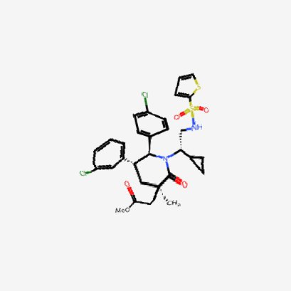 COC(=O)C[C@@]1(C)C[C@H](c2cccc(Cl)c2)[C@@H](c2ccc(Cl)cc2)N([C@H](CNS(=O)(=O)c2cccs2)C2CC2)C1=O